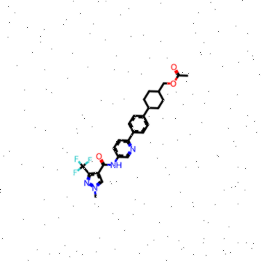 CC(=O)OCC1CCC(c2ccc(-c3ccc(NC(=O)c4cn(C)nc4C(F)(F)F)cn3)cc2)CC1